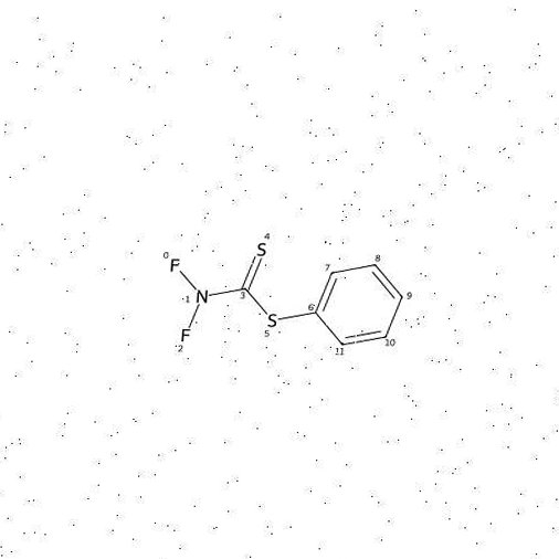 FN(F)C(=S)Sc1ccccc1